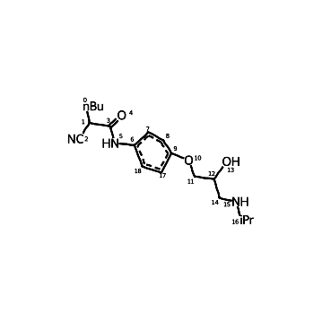 CCCCC(C#N)C(=O)Nc1ccc(OCC(O)CNC(C)C)cc1